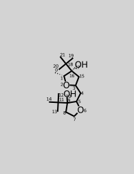 C[C@H]1OC(CC2OCCC2(O)C(C)(C)C)C[C@]1(O)C(C)(C)C